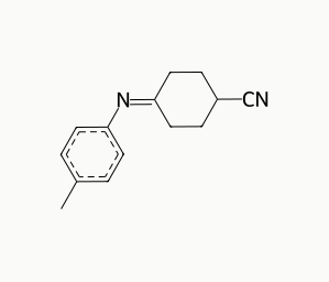 Cc1ccc(N=C2CCC(C#N)CC2)cc1